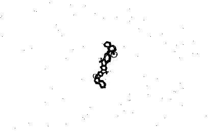 CC1(C)c2cc3c(cc2-c2cc4oc5ccc6ccccc6c5c4cc21)C(C)(C)c1cc2c(cc1-3)oc1ccc3ccccc3c12